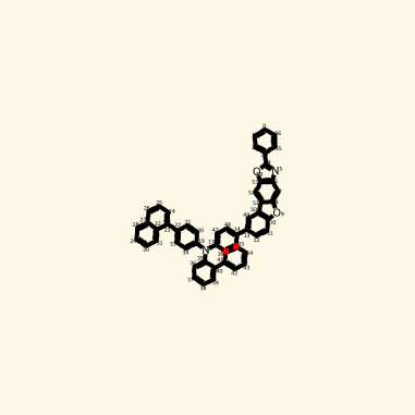 c1ccc(-c2nc3cc4oc5ccc(-c6ccc(N(c7ccc(-c8cccc9ccccc89)cc7)c7ccccc7-c7ccccc7)cc6)cc5c4cc3o2)cc1